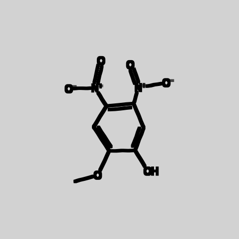 COc1cc([N+](=O)[O-])c([N+](=O)[O-])cc1O